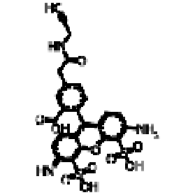 C#CCNC(=O)Cc1ccc(-c2c3ccc(=N)c(S(=O)(=O)O)c-3oc3c(S(=O)(=O)O)c(N)ccc23)c(C(=O)O)c1